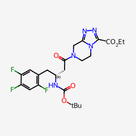 CCOC(=O)c1nnc2n1CCN(C(=O)C[C@@H](Cc1cc(F)c(F)cc1F)NC(=O)OC(C)(C)C)C2